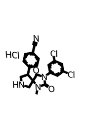 CN1C(=O)N(c2cc(Cl)cc(Cl)c2)C(=O)C12CNCC2c1ccc(C#N)cc1.Cl